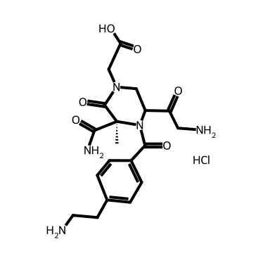 C[C@]1(C(N)=O)C(=O)N(CC(=O)O)CC(C(=O)CN)N1C(=O)c1ccc(CCN)cc1.Cl